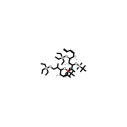 C=C/C=C\[C@H](C)[C@H](O[Si](CC)(CC)CC)[C@@H](C)C(O[Si](C)(C)C(C)(C)C)C(C)C/C(C)=C\[C@H](C)C(O[Si](C)(C)C(C)(C)C)C(C)CO[Si](CC)(CC)CC